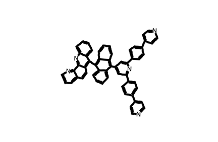 c1cnc2c(c1)ccc1c(-c3c4ccccc4c(-c4cc(-c5ccc(-c6ccncc6)cc5)nc(-c5ccc(-c6ccncc6)cc5)c4)c4ccccc34)c3ccccc3nc12